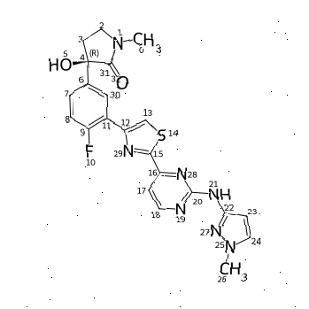 CN1CC[C@@](O)(c2ccc(F)c(-c3csc(-c4ccnc(Nc5ccn(C)n5)n4)n3)c2)C1=O